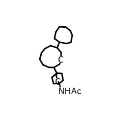 CC(=O)NC12CCC(C3CCCCCCC(C4CCCCCCCC4)CCC3)(CC1)CC2